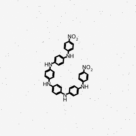 O=[N+]([O-])c1ccc(Nc2ccc(Nc3ccc(Nc4ccc(Nc5ccc(Nc6ccc([N+](=O)[O-])cc6)cc5)cc4)cc3)cc2)cc1